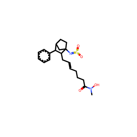 CN(O)C(=O)CCCC=CCC1C(c2ccccc2)C2CCC1(N=S(=O)=O)C2